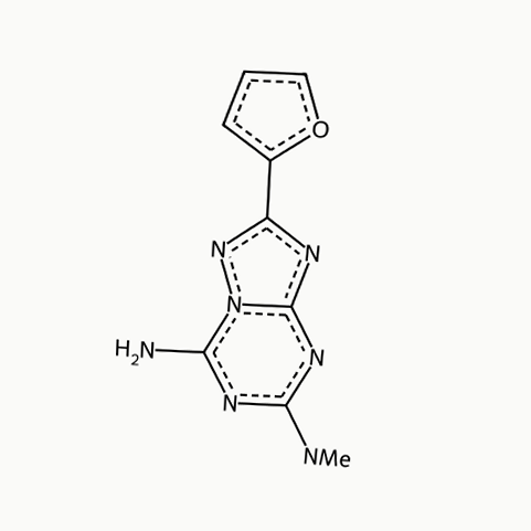 CNc1nc(N)n2nc(-c3ccco3)nc2n1